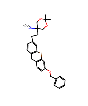 CC1(C)OCC(CCc2ccc3c(c2)Sc2cc(OCc4ccccc4)ccc2C3)(NC(=O)O)CO1